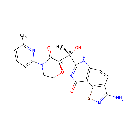 C[C@@](O)(c1nc(=O)c2c(ccc3c(N)nsc32)[nH]1)[C@H]1OCCN(c2cccc(C(F)(F)F)n2)C1=O